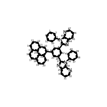 c1ccc(-n2c(-c3cc(-c4cc5cccc6ccc7cccc4c7c65)cc(-c4nc5cccnc5n4-c4ccccc4)c3)nc3cccnc32)cc1